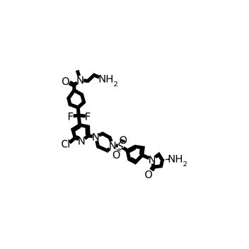 CN(CCN)C(=O)C1CCC(C(F)(F)c2cc(Cl)nc(N3CCN(S(=O)(=O)c4ccc(N5C[C@H](N)CC5=O)cc4)CC3)c2)CC1